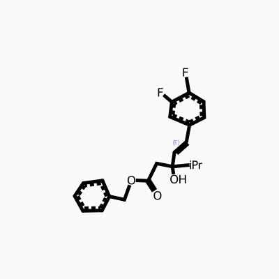 CC(C)C(O)(/C=C/c1ccc(F)c(F)c1)CC(=O)OCc1ccccc1